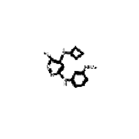 CC(=O)Nc1cccc(Nc2cc(NC3CCC3)c(C(C)=O)nn2)c1